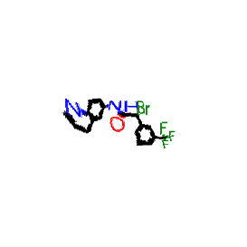 O=C(Nc1ccc2ncccc2c1)C(Br)c1cccc(C(F)(F)F)c1